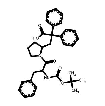 CC(C)(C)OC(=O)NC(Cc1ccccc1)C(=O)N1CCCC1CC(C(=O)O)(c1ccccc1)c1ccccc1